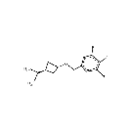 CC(C)[C@H]1C[C@H](OCc2cc(F)c(F)c(F)c2)C1